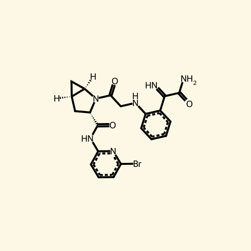 N=C(C(N)=O)c1ccccc1NCC(=O)N1[C@@H]2C[C@@H]2C[C@H]1C(=O)Nc1cccc(Br)n1